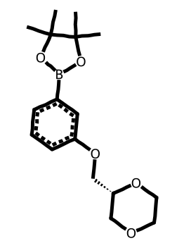 CC1(C)OB(c2cccc(OC[C@H]3COCCO3)c2)OC1(C)C